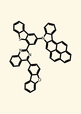 c1cc2ccc3cc4c(c5ccc(c1)c2c35)c1ccccc1n4-c1cc(-c2nc(-c3ccc4oc5ccccc5c4c3)c3ccccc3n2)c2sc3ccccc3c2c1